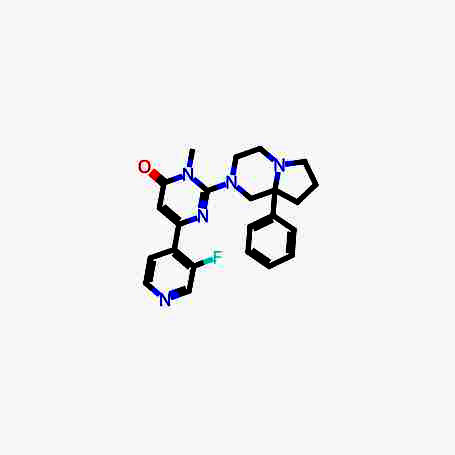 Cn1c(N2CCN3CCCC3(c3ccccc3)C2)nc(-c2ccncc2F)cc1=O